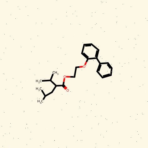 CC(C)CC(C(=O)OCCOc1ccccc1-c1ccccc1)C(C)C